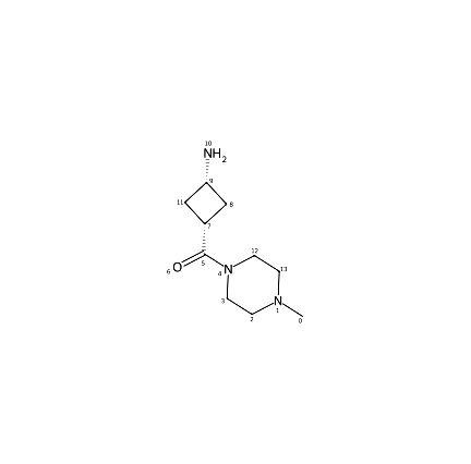 CN1CCN(C(=O)[C@H]2C[C@@H](N)C2)CC1